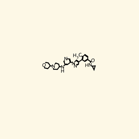 Cc1ccc(C(=O)NC2CC2)cc1-c1cnn(-c2cncc(NC3CCN(C4CCOCC4)CC3)c2)c1